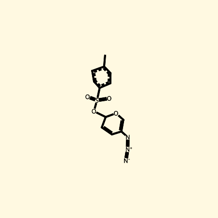 Cc1ccc(S(=O)(=O)OC2C=CC(N=[N+]=[N-])=CO2)cc1